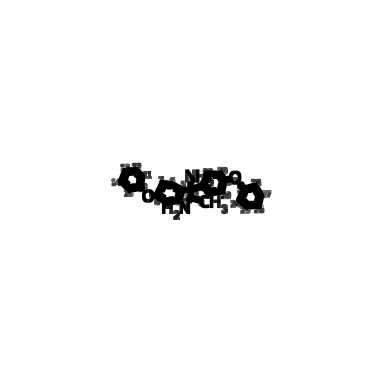 CC(N)C(N)(c1ccc(Oc2ccccc2)cc1)c1ccc(Oc2ccccc2)cc1